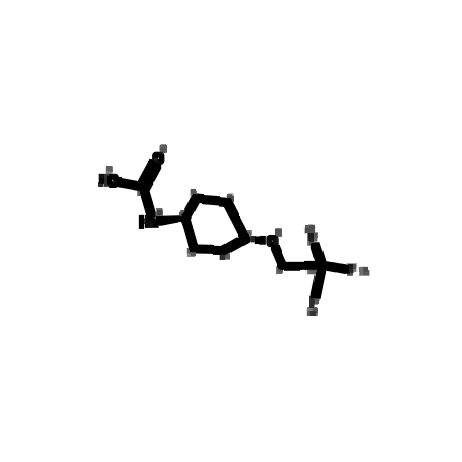 O=C(O)N[C@H]1CC[C@H](OCC(F)(F)F)CC1